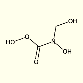 O=C(OO)N(O)CO